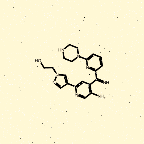 N=C(c1cccc(N2CCNCC2)n1)c1cc(-c2cnn(CCO)c2)ncc1N